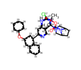 CC(C)(C)OC(=O)N1C2CCC1CN(c1nc(Cl)nc3cc(-c4cc(Oc5ccccc5)cc5ccccc45)ncc13)C2